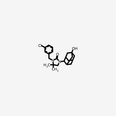 CC1(C)CN(C2C3CC4CC2CC(O)(C4)C3)C(=O)N1Cc1cccc(Cl)c1